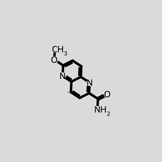 COc1ccc2nc(C(N)=O)c[c]c2n1